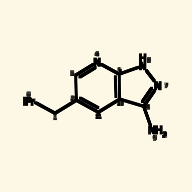 CC(C)Cc1cnc2[nH]nc(N)c2c1